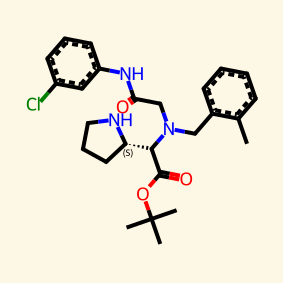 Cc1ccccc1CN(CC(=O)Nc1cccc(Cl)c1)C(C(=O)OC(C)(C)C)[C@@H]1CCCN1